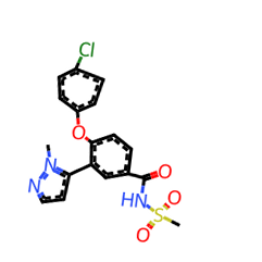 Cn1nccc1-c1cc(C(=O)NS(C)(=O)=O)ccc1Oc1ccc(Cl)cc1